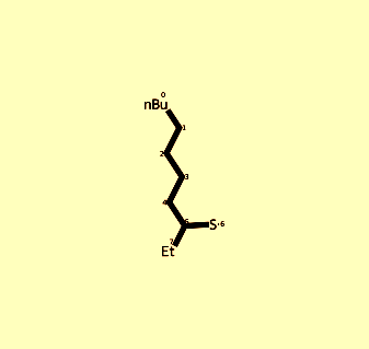 CCCCCCCCC([S])CC